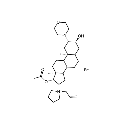 C=CC[N+]1([C@H]2CC3C4CCC5C[C@H](O)[C@@H](N6CCOCC6)C[C@]5(C)C4CC[C@]3(C)[C@H]2OC(C)=O)CCCC1.[Br-]